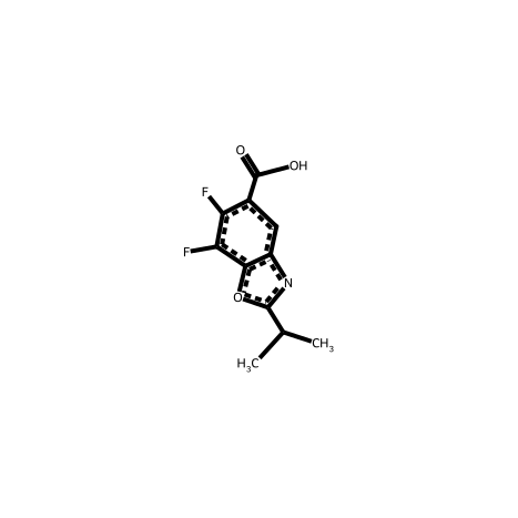 CC(C)c1nc2cc(C(=O)O)c(F)c(F)c2o1